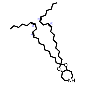 CCCCC/C=C\C/C=C\CCCCCCCCC1(CCCCCCCC/C=C\C/C=C\CCCCC)OC2CCNCCC2O1